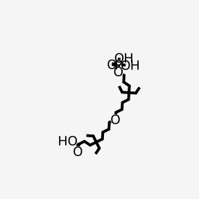 CCC(CC)(CCCCOCCCCC(CC)(CC)CCC(=O)O)CCCOP(=O)(O)O